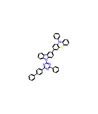 c1ccc(-c2ccc(-c3nc(-c4ccccc4)nc(-n4c5ccccc5c5cc(-c6ccc7c(c6)Sc6ccccc6N7c6ccccc6)ccc54)n3)cc2)cc1